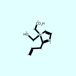 C=CCC1=NC=C[N+]1(CO)CC(=O)O